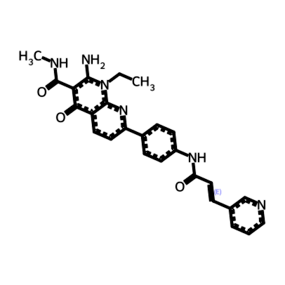 CCn1c(N)c(C(=O)NC)c(=O)c2ccc(-c3ccc(NC(=O)/C=C/c4cccnc4)cc3)nc21